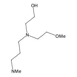 CNCCCN(CCO)CCOC